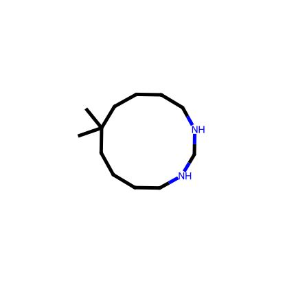 CC1(C)CCCCNCNCCCC1